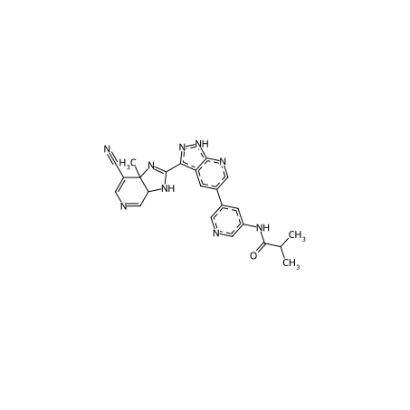 CC(C)C(=O)Nc1cncc(-c2cnc3[nH]nc(C4=NC5(C)C(C#N)=CN=CC5N4)c3c2)c1